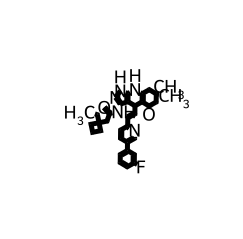 CCC1(CC(=O)Nc2n[nH]c3c2C(/C=C/c2ccc(-c4cccc(F)c4)cn2)C2=C(CC(C)(C)CC2=O)N3)CCC1